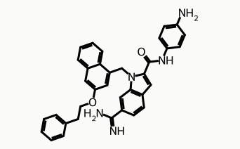 N=C(N)c1ccc2cc(C(=O)Nc3ccc(N)cc3)n(Cc3cc(OCCc4ccccc4)cc4ccccc34)c2c1